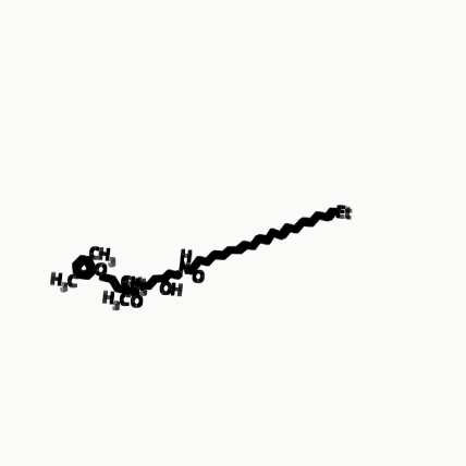 CCC=CCC=CCC=CCC=CCC=CCC=CCCC(=O)NCCC(O)CCNC(=O)C(C)(C)CCCOc1cc(C)ccc1C